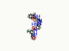 CC1=C2C(Nc3cc(NC(=O)c4cc(F)cc(N5CCOCC5)c4)ccc3C)=NC=NN2CC1C(=O)N[C@H](C)c1ccccc1